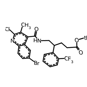 Cc1c(Cl)nc2ccc(Br)cc2c1C(=O)NCC(CCC(=O)OC(C)(C)C)c1ccccc1C(F)(F)F